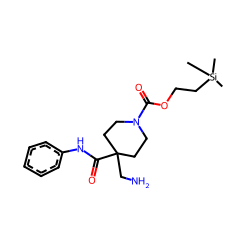 C[Si](C)(C)CCOC(=O)N1CCC(CN)(C(=O)Nc2ccccc2)CC1